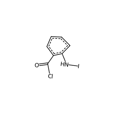 O=C(Cl)c1ccccc1NI